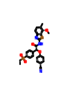 CCS(=O)(=O)c1ccc(C(Oc2ccc(C#N)cc2)C(=O)Nc2nc3ccc(C)c(OC)c3s2)cc1